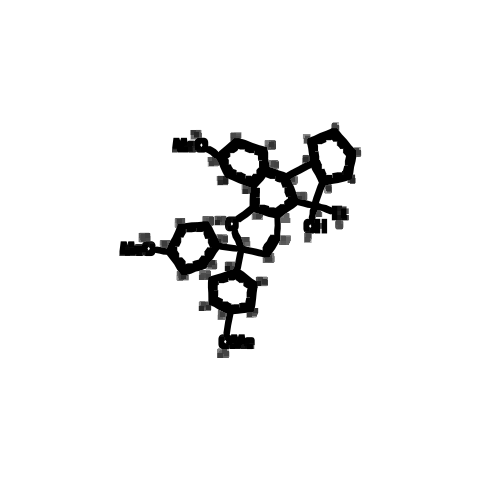 CCC1(O)c2ccccc2-c2c1c1c(c3cc(OC)ccc23)OC(c2ccc(OC)cc2)(c2ccc(OC)cc2)C=C1